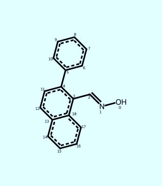 ON=Cc1c(-c2ccccc2)ccc2ccccc12